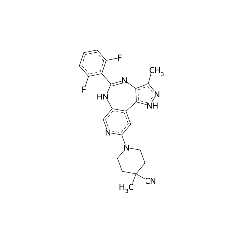 Cc1n[nH]c2c1N=C(c1c(F)cccc1F)Nc1cnc(N3CCC(C)(C#N)CC3)cc1-2